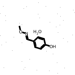 CON=Cc1ccc(O)cc1.O